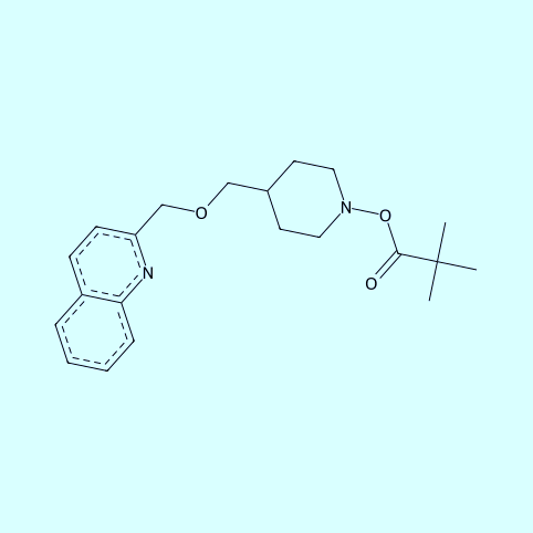 CC(C)(C)C(=O)ON1CCC(COCc2ccc3ccccc3n2)CC1